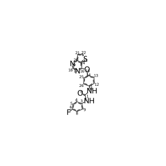 O=C(Nc1ccc(F)cc1)Nc1ccc(Oc2ncnc3ccsc23)cc1